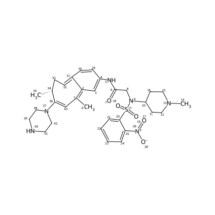 CC1=c2\cc(NC(=O)CN(C3CCN(C)CC3)S(=O)(=O)c3ccccc3[N+](=O)[O-])cc\c2=C/C[C@@H](C)/C(N2CCNCC2)=C\1